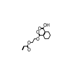 C=CC(=O)OCCOC(=O)C1=C(C(=O)O)CCCC1